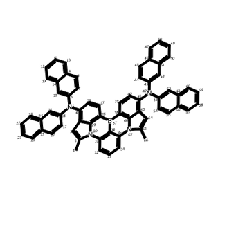 Cc1cc2c(N(c3ccc4ccccc4c3)c3ccc4ccccc4c3)ccc3c2n1-c1cccc2c1B3c1ccc(N(c3ccc4ccccc4c3)c3ccc4ccccc4c3)c3cc(C)n-2c13